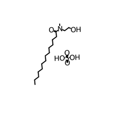 CCCCCCCCCCCCCC(=O)N(C)CCO.O=S(=O)(O)O